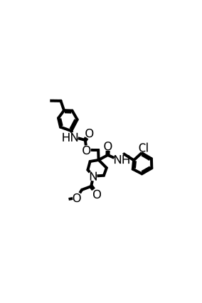 CCc1ccc(NC(=O)OCC2(C(=O)NCc3ccccc3Cl)CCN(C(=O)COC)CC2)cc1